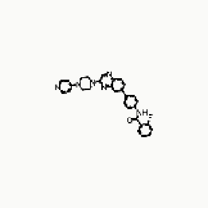 O=C(Nc1ccc(-c2ccc3ncc(N4CCN(c5ccncc5)CC4)nc3c2)cc1)c1ccccc1F